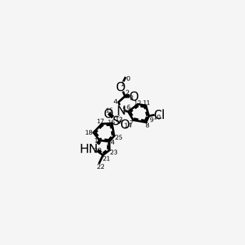 COC(=O)CN(c1ccc(Cl)cc1)S(=O)(=O)c1ccc2[nH]c(C)cc2c1